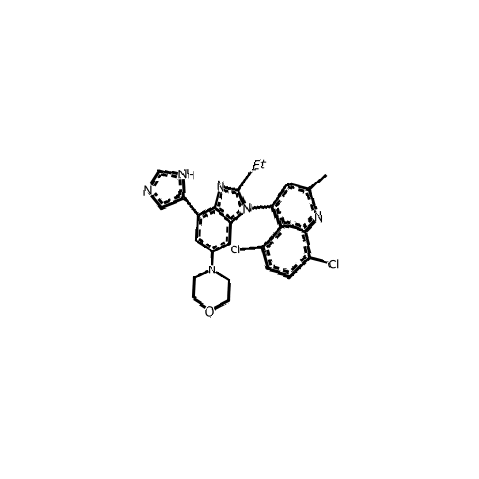 CCc1nc2c(-c3cnc[nH]3)cc(N3CCOCC3)cc2n1-c1cc(C)nc2c(Cl)ccc(Cl)c12